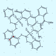 COC(=O)c1ccccc1-c1c2ccc(=N)c(S(=O)(=O)N(Cc3ccccn3)Cc3cnccn3)c-2oc2c(S(=O)(=O)N(Cc3ccccn3)Cc3cnccn3)c(N)ccc12